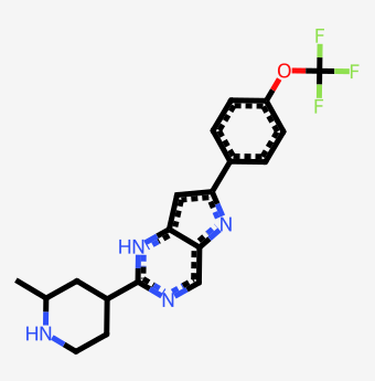 CC1CC(c2ncc3nc(-c4ccc(OC(F)(F)F)cc4)cc-3[nH]2)CCN1